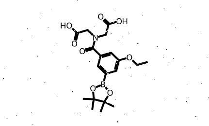 CCOc1cc(B2OC(C)(C)C(C)(C)O2)cc(C(=O)N(CC(=O)O)CC(=O)O)c1